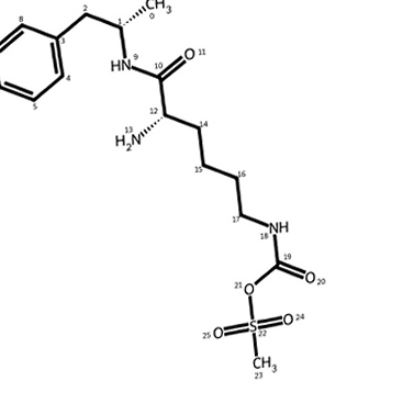 C[C@@H](Cc1ccccc1)NC(=O)[C@@H](N)CCCCNC(=O)OS(C)(=O)=O